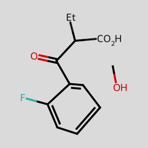 CCC(C(=O)O)C(=O)c1ccccc1F.CO